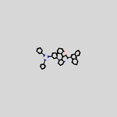 c1ccc(-c2nc(-c3ccccc3)nc(-c3cccc(-c4cccc5nc(-c6cc7ccccc7c7ccccc67)c6oc7ccccc7c6c45)c3)n2)cc1